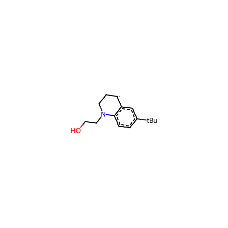 CC(C)(C)c1ccc2c(c1)[CH]CCN2CCO